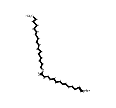 CCCCCCC=CCCCCCCCCCCCC(=O)OCCCCCCCCCCCCCCCCC(=O)O